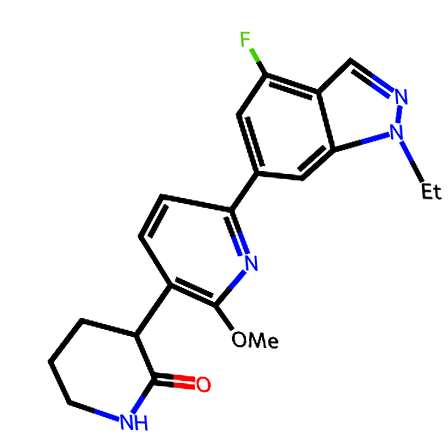 CCn1ncc2c(F)cc(-c3ccc(C4CCCNC4=O)c(OC)n3)cc21